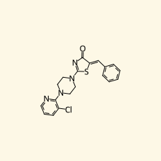 O=C1N=C(N2CCN(c3ncccc3Cl)CC2)SC1=Cc1ccccc1